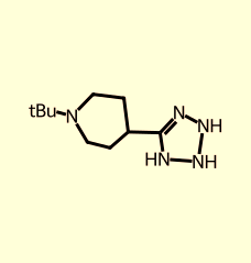 CC(C)(C)N1CCC(C2=NNNN2)CC1